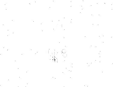 CCCCCCCCCCCCc1ccc2cccc(C(Cc3nnn[nH]3)C(O)CCC(=O)O)c2c1